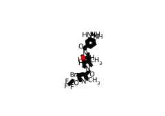 Cc1nc(OCC(F)(F)F)c(Br)cc1C(=O)N1C[C@H]2[C@@H]3CN(C(=O)c4ccc5c(c4)NNN5)C[C@@H]3[C@@]2(C)C1